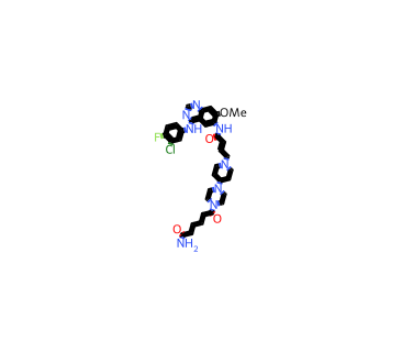 COc1cc2ncnc(Nc3ccc(F)c(Cl)c3)c2cc1NC(=O)/C=C/CN1CCC(N2CCN(C(=O)CCCCC(N)=O)CC2)CC1